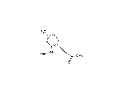 CCCCNc1nc(C(F)(F)F)ccc1C#CC(=O)OC